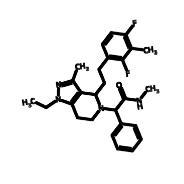 CCn1nc(C)c2c1CCN(C(C(=O)NC)c1ccccc1)C2CCc1ccc(F)c(C)c1F